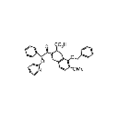 COc1ccc2c(c1OCc1ccccc1)CC(C(=O)O)N(C(=O)C(Oc1ccccn1)c1ccccc1)C2